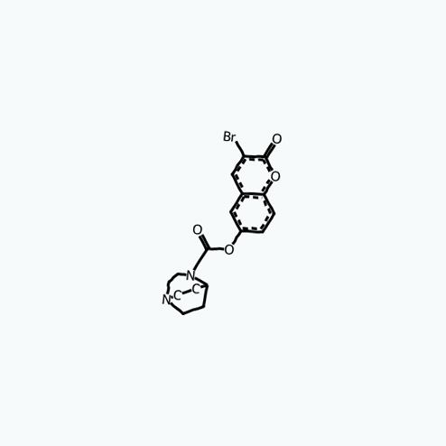 O=C(Oc1ccc2oc(=O)c(Br)cc2c1)N1CCN2CCC1CC2